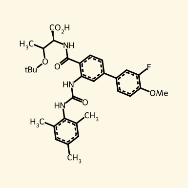 COc1ccc(-c2ccc(C(=O)N[C@H](C(=O)O)C(C)OC(C)(C)C)c(NC(=O)Nc3c(C)cc(C)cc3C)c2)cc1F